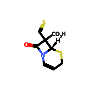 O=C(O)C1(C=S)C(=O)N2C=CCS[C@H]21